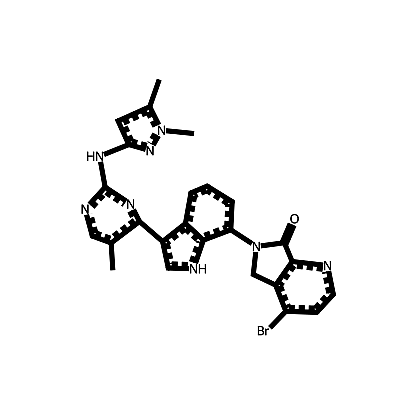 Cc1cnc(Nc2cc(C)n(C)n2)nc1-c1c[nH]c2c(N3Cc4c(Br)ccnc4C3=O)cccc12